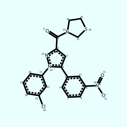 O=C(c1cc(-c2cccc([N+](=O)[O-])c2)n(-c2cccc(Cl)c2)n1)N1CCSC1